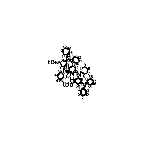 CC(C)(C)c1cc(N(C2=CC=CCC2)C2=CC=CC(C)(N(C3=CC(N(C4=CC=CCC4)C4C=CC=CC4)CC(C(C)(C)C)C3)C3C=CC=CC3)N2)cc(N(c2ccccc2)C2C=CC=CC2)c1